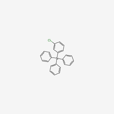 Clc1cccc([Si](c2ccccc2)(c2ccccc2)c2ccccc2)c1